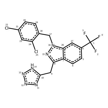 FC(F)(F)c1ccc2c(Cc3nnn[nH]3)nn(Cc3ccc(Cl)cc3Cl)c2c1